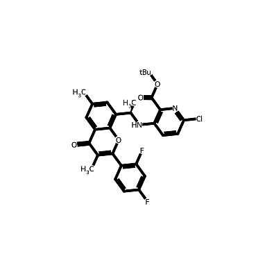 Cc1cc([C@@H](C)Nc2ccc(Cl)nc2C(=O)OC(C)(C)C)c2oc(-c3ccc(F)cc3F)c(C)c(=O)c2c1